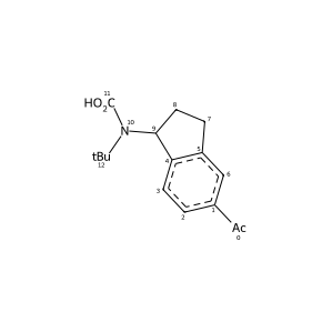 CC(=O)c1ccc2c(c1)CCC2N(C(=O)O)C(C)(C)C